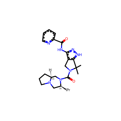 CC(C)[C@H]1CN2CCC[C@H]2CN1C(=O)N1Cc2c(NC(=O)c3ccccn3)n[nH]c2C1(C)C